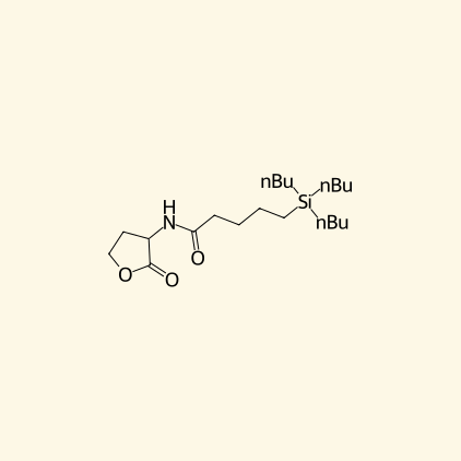 CCCC[Si](CCCC)(CCCC)CCCCC(=O)NC1CCOC1=O